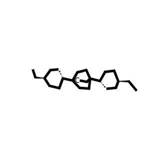 CC[C@H]1CC[C@H](C23CCC([C@H]4CC[C@H](CC)CC4)(CC2)CC3)CC1